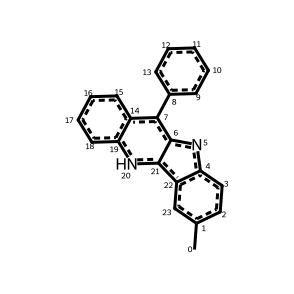 Cc1ccc2nc3c(-c4ccccc4)c4ccccc4[nH]c-3c2c1